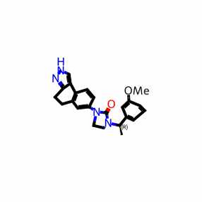 COc1cccc([C@@H](C)N2CCN(c3ccc4c(c3)CCc3n[nH]cc3-4)C2=O)c1